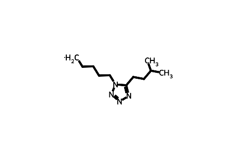 [CH2]CCCCn1nnnc1CCC(C)C